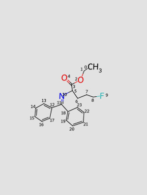 CCOC(=O)C(CCCF)N=C(c1ccccc1)c1ccccc1